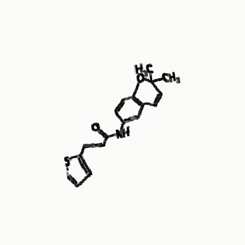 CC1(C)C=Cc2cc(NC(=O)/C=C/c3cccs3)ccc2O1